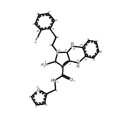 NC1C(C(=O)NCc2ccco2)=C2Nc3ccccc3NC2N1CCc1ccccc1F